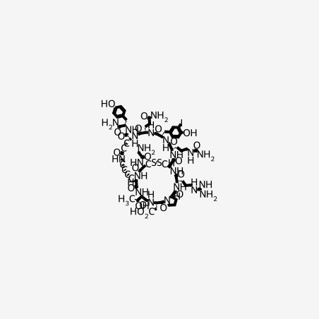 C[C@@H](O)[C@@H]1NC(=O)[C@@H]2CCCCNC(=O)CC[C@H](C(=O)N[C@@H](Cc3ccc(O)cc3)C(N)=O)NC(=O)[C@H](CCC(N)=O)NC(=O)[C@H](Cc3ccc(O)c(I)c3)NC(=O)[C@H](CCCNC(N)=O)NC(=O)[C@H](CSSCC(NC(=O)CN)C(=O)N2)NC(=O)[C@H](CCCNC(=N)N)NC(=O)[C@@H]2CCCN2C(=O)[C@H](CC(=O)O)NC1=O